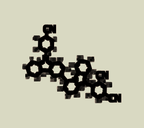 N#Cc1ccc(-n2c3ccccc3c3cc(-c4cccc5c4c4ccccc4n5-c4ccc(C#N)cc4C#N)ccc32)cc1